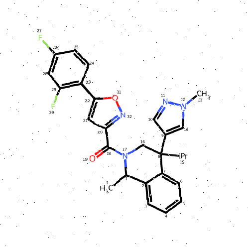 CC1c2ccccc2C(c2cnn(C)c2)(C(C)C)CN1C(=O)c1cc(-c2ccc(F)cc2F)on1